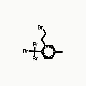 Cc1ccc(C(Br)(Br)Br)c(CCBr)c1